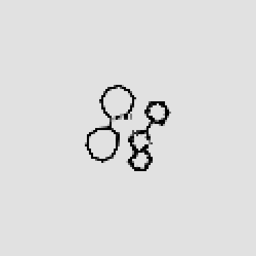 C1CCCCC(N2CCCCCCCN2)CCC1.c1ccc(-c2ncc3ccccc3n2)cc1